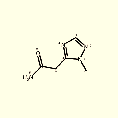 Cn1ncnc1CC(N)=O